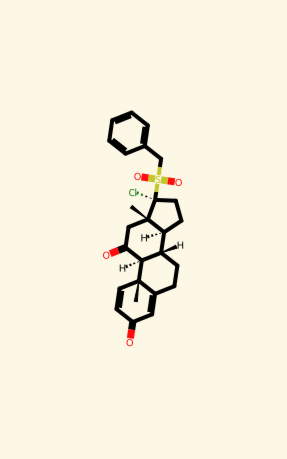 C[C@]12C=CC(=O)C=C1CC[C@@H]1[C@@H]2C(=O)C[C@@]2(C)[C@H]1CC[C@]2(Cl)S(=O)(=O)Cc1ccccc1